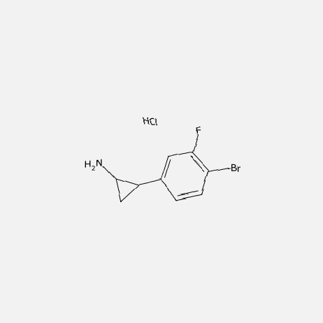 Cl.NC1CC1c1ccc(Br)c(F)c1